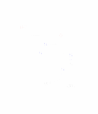 CC(C)n1cnc2c(=O)n(CCO)ncc21